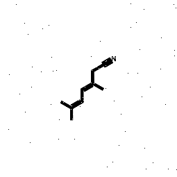 CC(C)=C/C=C(\C)CC#N